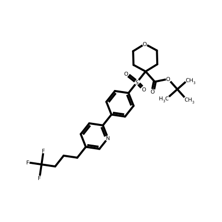 CC(C)(C)OC(=O)C1(S(=O)(=O)c2ccc(-c3ccc(CCCC(F)(F)F)cn3)cc2)CCOCC1